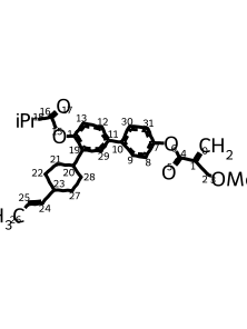 C=C(COC)C(=O)Oc1ccc(-c2ccc(OC(=O)C(C)C)c(C3CCC(/C=C/C)CC3)c2)cc1